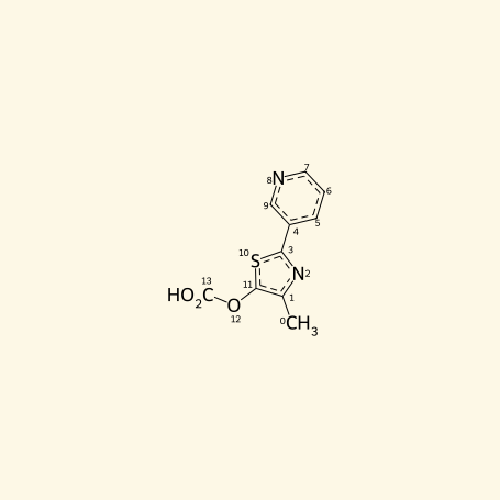 Cc1nc(-c2cccnc2)sc1OC(=O)O